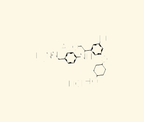 CCc1cc(OC2CCC(O)CC2)cc(C(COC(C)=O)Nc2ccc(C=NN)cc2)c1.Cl